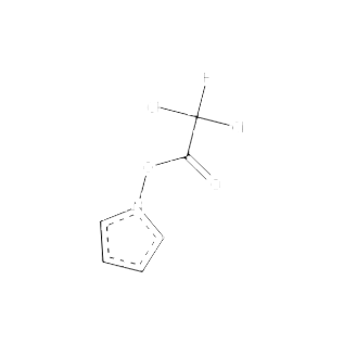 O=C(On1cccc1)C(F)(Cl)Cl